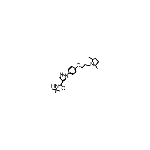 CC1CCC(C)N1CCCOc1ccc(-n2cc(C(=O)NC(C)(C)C)cn2)cc1